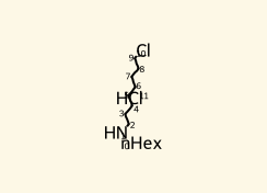 CCCCCCNCCCCCCCCCl.Cl